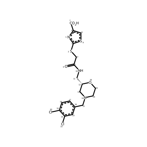 O=C(CSc1nc(C(=O)O)cs1)NC[C@H]1CN(Cc2ccc(Cl)c(Cl)c2)CCO1